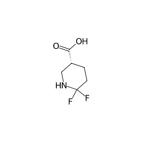 O=C(O)[C@@H]1CCC(F)(F)NC1